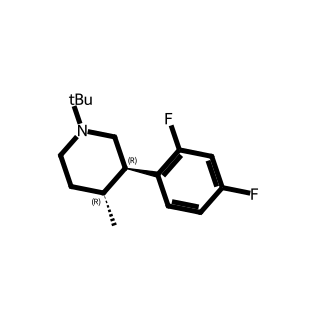 C[C@@H]1CCN(C(C)(C)C)C[C@H]1c1ccc(F)cc1F